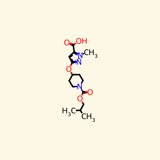 CC(C)COC(=O)N1CCC(Oc2cc(C(=O)O)n(C)n2)CC1